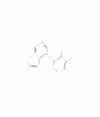 Cc1c(Cl)nnc(-c2cccc3sc(N)nc23)c1C